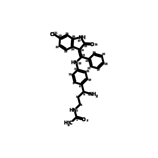 CC(=O)NCCC(N)c1ccc(NC(=C2C(=O)Nc3cc(Cl)ccc32)c2ccccc2)cc1